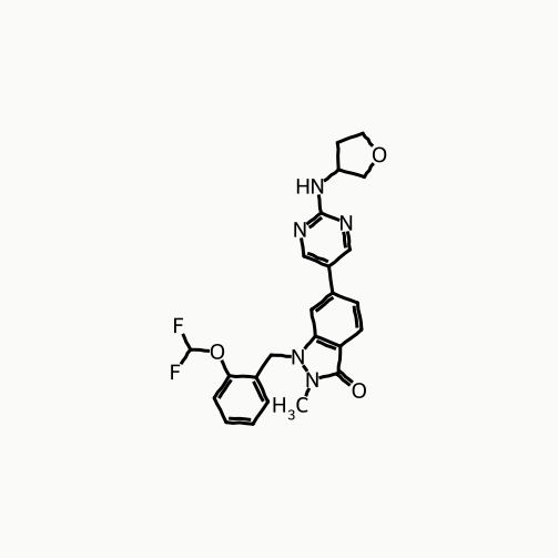 Cn1c(=O)c2ccc(-c3cnc(NC4CCOC4)nc3)cc2n1Cc1ccccc1OC(F)F